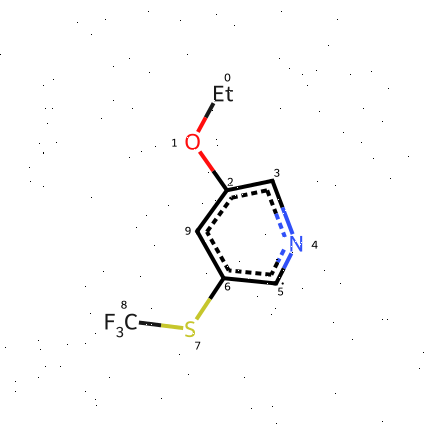 CCOc1cn[c]c(SC(F)(F)F)c1